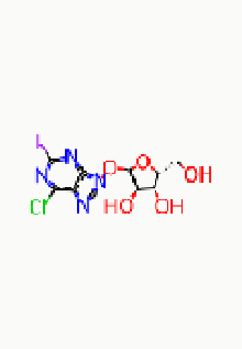 OC[C@H]1OC(On2cnc3c(Cl)nc(I)nc32)[C@H](O)[C@@H]1O